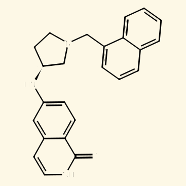 O=c1[nH]ccc2cc(N[C@H]3CCN(Cc4cccc5ccccc45)C3)ccc12